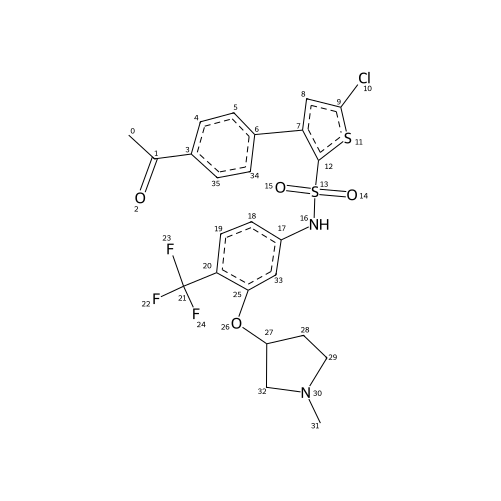 CC(=O)c1ccc(-c2cc(Cl)sc2S(=O)(=O)Nc2ccc(C(F)(F)F)c(OC3CCN(C)C3)c2)cc1